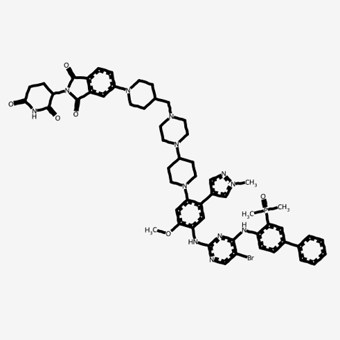 COc1cc(N2CCC(N3CCN(CC4CCN(c5ccc6c(c5)C(=O)N(C5CCC(=O)NC5=O)C6=O)CC4)CC3)CC2)c(-c2cnn(C)c2)cc1Nc1ncc(Br)c(Nc2ccc(-c3ccccc3)cc2P(C)(C)=O)n1